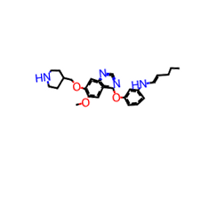 CCC/C=C/Nc1cccc(Oc2ncnc3cc(OCC4CCNCC4)c(OC)cc23)c1